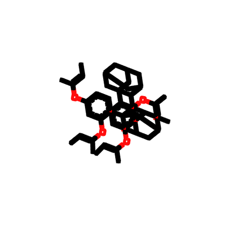 CC=C(C)Oc1ccc(C23CC4CC(CC(C4)C2C2C4CC5CC(C4)CC2(c2ccc(OC(C)=CC)cc2OC(C)=CC)C5)C3)c(OC(C)=CC)c1